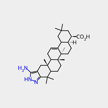 CC1(C)CC2C3=CCC4[C@@]5(C)Cc6c(n[nH]c6N)C(C)(C)C5CC[C@@]4(C)[C@]3(C)CC[C@@H]2[C@H](C(=O)O)C1